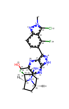 Cn1nc2ccc(-c3n[nH]c4nc(N5[C@@H]6CC[C@H]5[C@@H](F)[C@@H](N)C6)c(CO)nc34)c(F)c2c1Cl